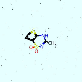 CC1=NS(=O)(=O)c2ccsc2N1